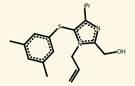 C=CCn1c(CO)nc(C(C)C)c1Sc1cc(C)cc(C)c1